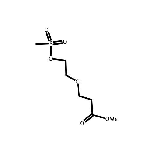 COC(=O)CCOCCOS(C)(=O)=O